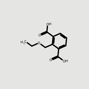 CCOCc1c(C(=O)O)cccc1C(=O)O